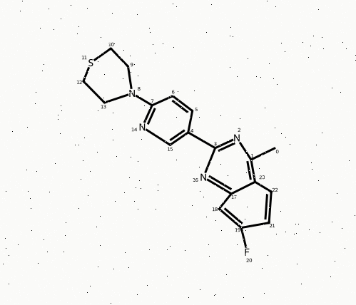 Cc1nc(-c2ccc(N3CCSCC3)nc2)nc2cc(F)ccc12